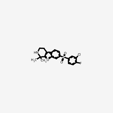 CC1(C)NCCc2c1oc1cc(S(=O)(=O)c3ccc(F)c(Cl)c3)ccc21